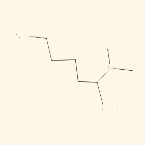 CCCCCCCCCCCCCC(CCCCCCCC)N(C)C